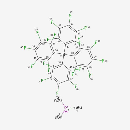 CCCC[PH+](CCCC)CCCC.Fc1c(F)c(F)c([B-](c2c(F)c(F)c(F)c(F)c2F)(c2c(F)c(F)c(F)c(F)c2F)c2c(F)c(F)c(F)c(F)c2F)c(F)c1F